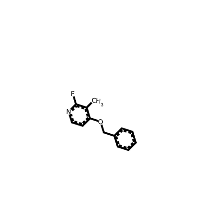 Cc1c(OCc2ccccc2)ccnc1F